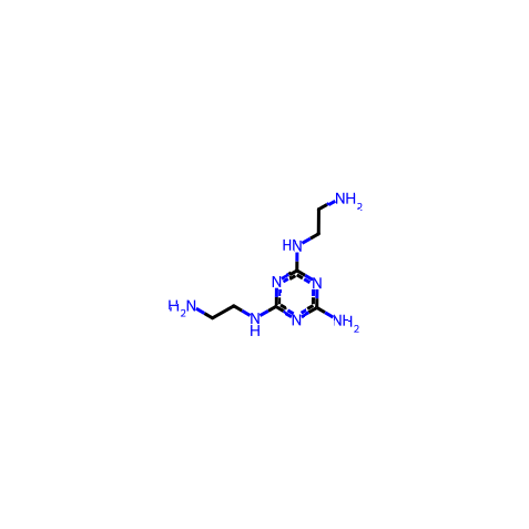 NCCNc1nc(N)nc(NCCN)n1